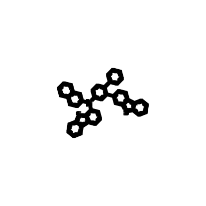 c1ccc(-c2ccc(N(c3ccc4ccccc4c3)c3cccc4c3sc3ccccc34)cc2-c2ccc3c(c2)sc2ccccc23)cc1